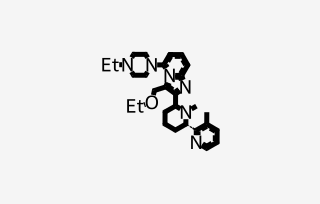 CCOCc1c(C2CCC[C@@H](c3ncccc3C)N2C)nc2cccc(N3CCN(CC)CC3)n12